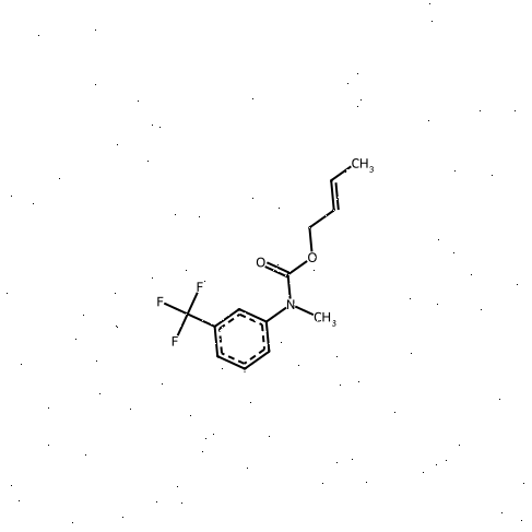 CC=CCOC(=O)N(C)c1c[c]cc(C(F)(F)F)c1